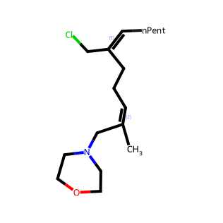 CCCCC/C=C(/CCl)CC/C=C(/C)CN1CCOCC1